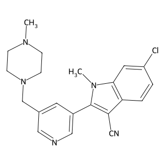 CN1CCN(Cc2cncc(-c3c(C#N)c4ccc(Cl)cc4n3C)c2)CC1